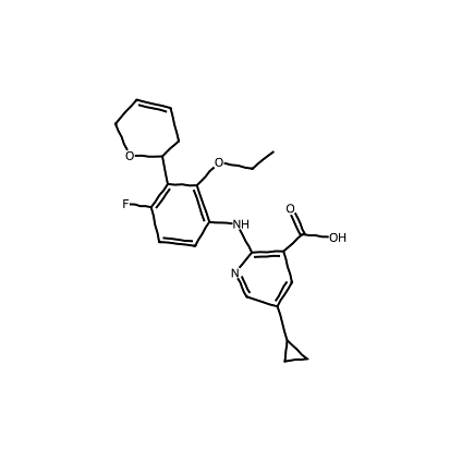 CCOc1c(Nc2ncc(C3CC3)cc2C(=O)O)ccc(F)c1C1CC=CCO1